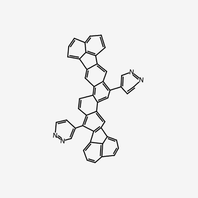 c1cc2c3c(cccc3c1)-c1cc3c(cc1-2)c(-c1ccnnc1)cc1c2cc4c(c(-c5ccnnc5)c2ccc31)-c1cccc2cccc-4c12